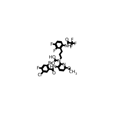 COc1ccc(NC(=O)c2cc(Cl)c(F)cc2Br)c(N(CCCc2c(NC(=O)C(F)(F)F)ccc(F)c2F)C(=O)O)n1